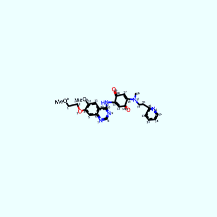 COCCOc1cc2ncnc(NC3=CC(=O)C(N(C)CCc4ccccn4)=CC3=O)c2cc1OC